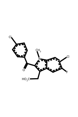 Cn1c(C(=O)c2ccc(Cl)cc2)c(CC(=O)O)c2cc(F)c(Cl)cc21